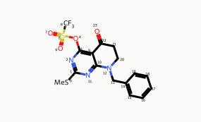 CSc1nc(OS(=O)(=O)C(F)(F)F)c2c(n1)N(Cc1ccccc1)CCC2=O